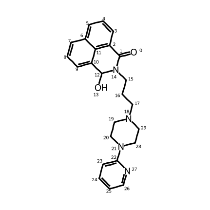 O=C1c2cccc3cccc(c23)C(O)N1CCCN1CCN(c2ccccn2)CC1